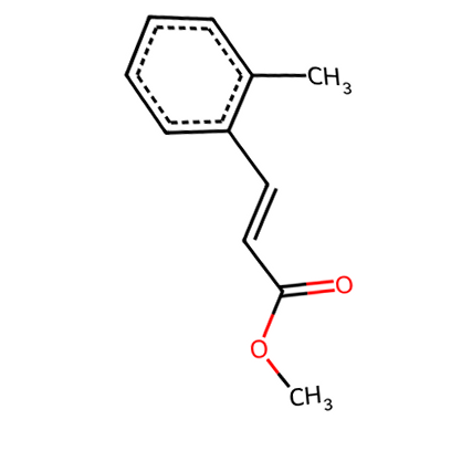 COC(=O)C=Cc1ccccc1C